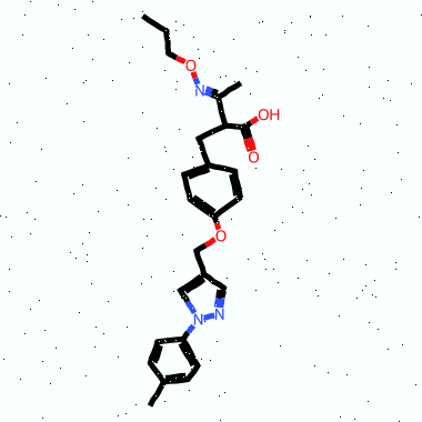 CCCON=C(C)C(Cc1ccc(OCc2cnn(-c3ccc(C)cc3)c2)cc1)C(=O)O